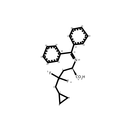 O=C(O)[C@@H](CC(F)(F)CC1CC1)N=C(c1ccccc1)c1ccccc1